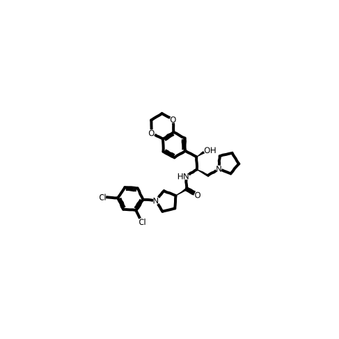 O=C(N[C@H](CN1CCCC1)[C@H](O)c1ccc2c(c1)OCCO2)[C@H]1CCN(c2ccc(Cl)cc2Cl)C1